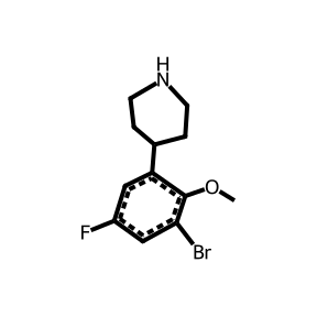 COc1c(Br)cc(F)cc1C1CCNCC1